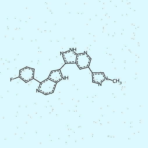 Cn1cc(-c2cnc3[nH]nc(-c4cc5c(-c6cccc(F)c6)nccc5[nH]4)c3c2)cn1